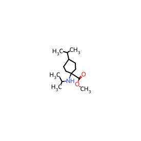 COC(=O)C1(NC(C)C)CCC(C(C)C)CC1